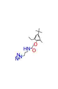 CCc1cc(C(C)(C)C)cc(C)c1OCC(=O)NCCCn1cncn1